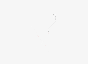 C=CCOP(=O)(O)O.[BaH2]